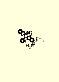 COc1cc2c(cc1OC)C(CO)N(C(=O)C1Cc3ccccc3CN1Cc1ccccc1F)CC2